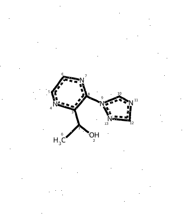 CC(O)c1nccnc1-n1cncn1